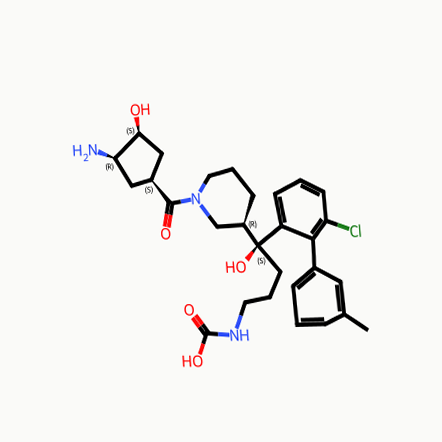 Cc1cccc(-c2c(Cl)cccc2[C@](O)(CCCNC(=O)O)[C@@H]2CCCN(C(=O)[C@H]3C[C@@H](N)[C@@H](O)C3)C2)c1